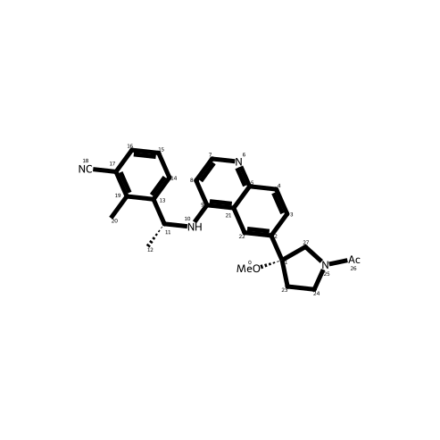 CO[C@@]1(c2ccc3nccc(N[C@H](C)c4cccc(C#N)c4C)c3c2)CCN(C(C)=O)C1